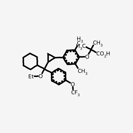 CCOC(c1ccc(OC(F)(F)F)cc1)(C1CCCCC1)C1CC1c1cc(C)c(OC(C)(C)C(=O)O)c(C)c1